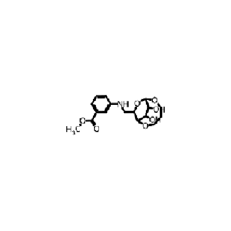 COC(=O)c1cccc(NCC2OC3OCCCOC2C(O)C3O)c1